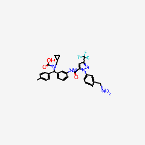 Cc1ccc(C(c2cccc(NC(=O)c3cc(C(F)(F)F)nn3-c3cccc(CN)c3)c2)N(CC2CC2)C(=O)O)cc1